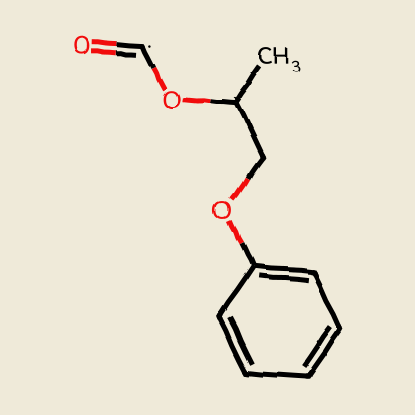 C[C](COc1ccccc1)O[C]=O